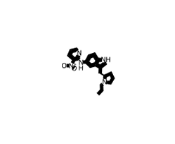 CCCN1CCC[C@@H]1Cc1c[nH]c2ccc(Nc3ncccc3[N+](=O)[O-])cc12